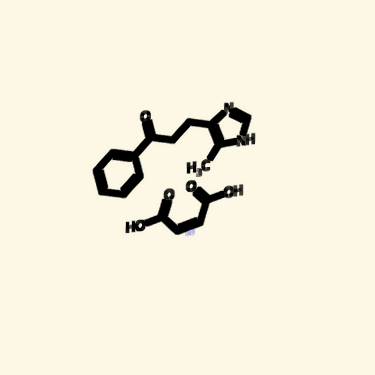 Cc1[nH]cnc1CCC(=O)c1ccccc1.O=C(O)/C=C\C(=O)O